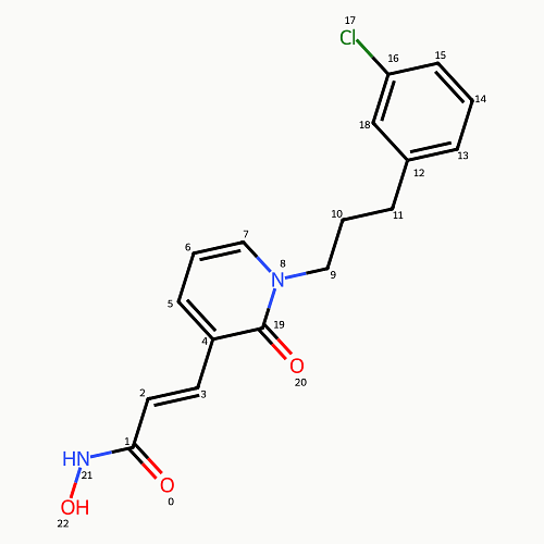 O=C(/C=C/c1cccn(CCCc2cccc(Cl)c2)c1=O)NO